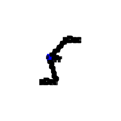 CCCCCCCCCCCCCCCCCC[N+](C)(CCCCCCCCCCCCCCCCCC)C(C)C